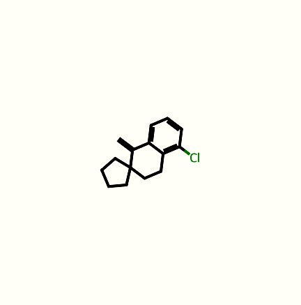 C=C1c2cccc(Cl)c2CCC12CCCC2